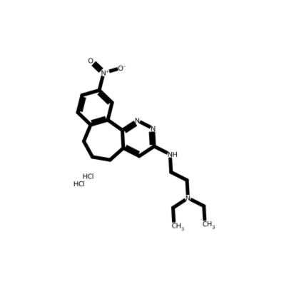 CCN(CC)CCNc1cc2c(nn1)-c1cc([N+](=O)[O-])ccc1CCC2.Cl.Cl